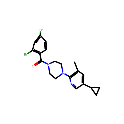 Cc1cc(C2CC2)cnc1N1CCN(C(=O)c2ccc(Br)cc2Br)CC1